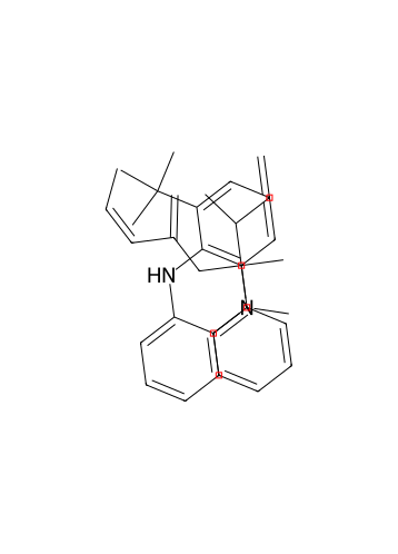 C=CC(C)C(C)(CC(=C)/C=C\C)N(C)c1ccccc1Nc1c(-c2ccccc2)cccc1C(C)(C)C